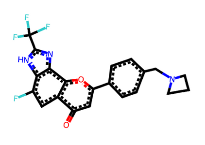 O=c1cc(-c2ccc(CN3CCC3)cc2)oc2c1cc(F)c1[nH]c(C(F)(F)F)nc12